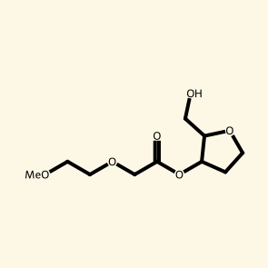 COCCOCC(=O)OC1CCOC1CO